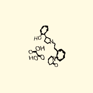 O=C(O)C(=O)O.O=C1CCCCN1c1ccccc1CCN1CCC(c2ccccc2O)C1